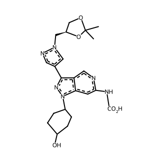 CC1(C)OC[C@H](Cn2cc(-c3nn(C4CCC(O)CC4)c4cc(NC(=O)O)ncc34)cn2)O1